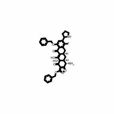 N[C@@H]1c2onc(OCc3ccccc3)c2C(=O)[C@@]2(O)C(O)=C3C(=O)c4c(OCc5ccccc5)cc(C5CCCN5)c(F)c4C[C@H]3C[C@@H]12